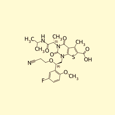 COc1ccc(F)cc1[C@H](Cn1c(=O)n([C@@H](C)C(=O)NC(C)C)c(=O)c2c(C)c(C(=O)O)sc21)OCCC#N